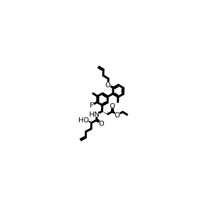 C=CCCOc1cccc(C)c1-c1cc(C)c(F)c([C@H](CC(=O)OCC)NC(=O)[C@H](O)CCC=C)c1